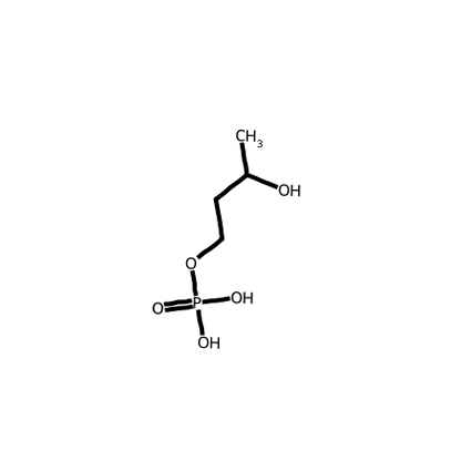 CC(O)CCOP(=O)(O)O